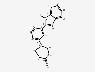 Cn1c(-c2cccc(N3CCC(=O)CC3)c2)nc2ccccc21